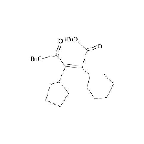 CC(C)COC(=O)C(=C(C(=O)OCC(C)C)C1CCCC1)C1CCCCC1